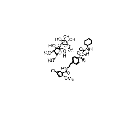 COc1ccc(Cl)cc1C(=O)NCCc1ccc(S(=O)(=O)NC(=O)NC2CCCCC2)cc1.OC[C@H]1O[C@@](CO)(O[C@H]2O[C@H](CO)[C@@H](O)[C@H](O)[C@H]2O)[C@@H](O)[C@@H]1O